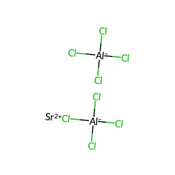 [Cl][Al-]([Cl])([Cl])[Cl].[Cl][Al-]([Cl])([Cl])[Cl].[Sr+2]